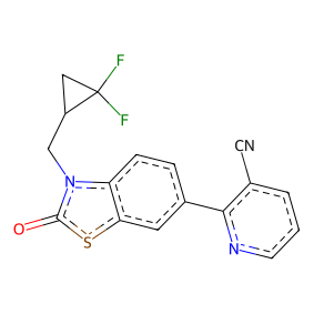 N#Cc1cccnc1-c1ccc2c(c1)sc(=O)n2CC1CC1(F)F